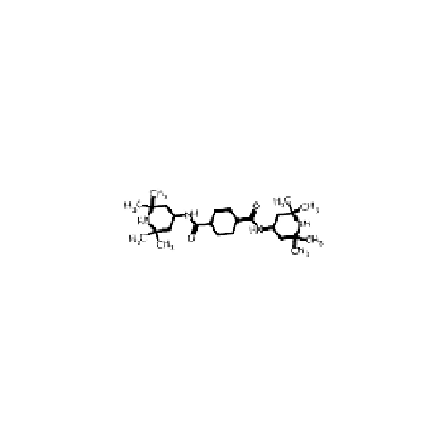 CC1(C)CC(NC(=O)C2CCC(C(=O)NC3CC(C)(C)NC(C)(C)C3)CC2)CC(C)(C)N1